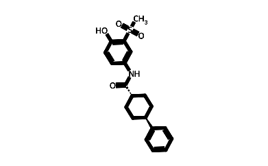 CS(=O)(=O)c1cc(NC(=O)[C@H]2CC[C@H](c3ccccc3)CC2)ccc1O